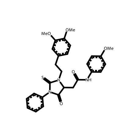 COc1ccc(NC(=O)CC2C(=O)N(c3ccccc3)C(=S)N2CCc2ccc(OC)c(OC)c2)cc1